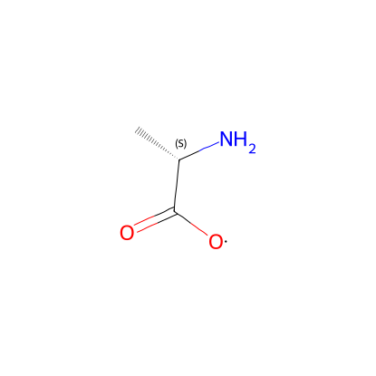 C[C@H](N)C([O])=O